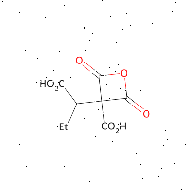 CCC(C(=O)O)C1(C(=O)O)C(=O)OC1=O